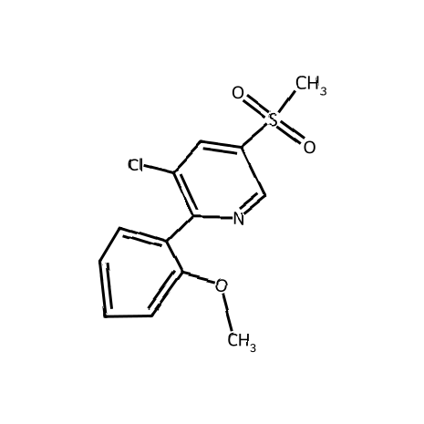 COc1ccccc1-c1ncc(S(C)(=O)=O)cc1Cl